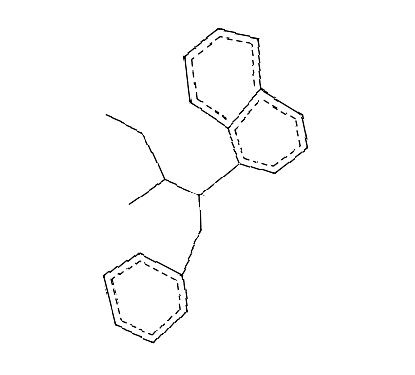 CCC(C)[C](Cc1ccccc1)c1cccc2ccccc12